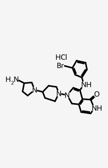 Cl.NC1CCN(C2CCN(N3C=C(Nc4cccc(Br)c4)c4c(cc[nH]c4=O)C3)CC2)C1